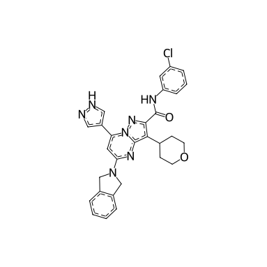 O=C(Nc1cccc(Cl)c1)c1nn2c(-c3cn[nH]c3)cc(N3Cc4ccccc4C3)nc2c1C1CCOCC1